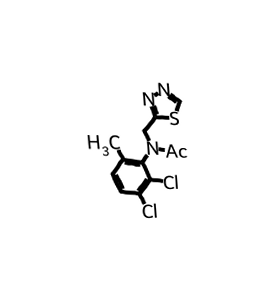 CC(=O)N(Cc1nncs1)c1c(C)ccc(Cl)c1Cl